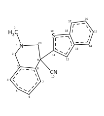 CN1Cc2ccccc2C(C#N)(c2cc3ccccc3s2)C1